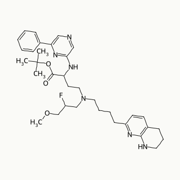 COCC(F)CN(CCCCc1ccc2c(n1)NCCC2)CCC(Nc1cncc(-c2ccccc2)n1)C(=O)OC(C)(C)C